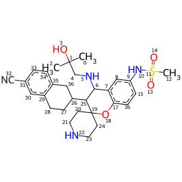 CC(C)(O)CNC1c2cc(NS(C)(=O)=O)ccc2OC2(CCNCC2)C1C1CCc2cc(C#N)ccc2C1